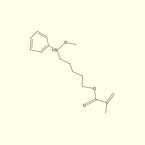 C=C(C)C(=O)OCCCCC[SiH](OC)c1ccccc1